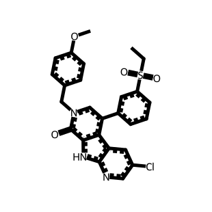 CCS(=O)(=O)c1cccc(-c2cn(Cc3ccc(OC)cc3)c(=O)c3[nH]c4ncc(Cl)cc4c23)c1